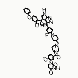 COc1ccc(C(=O)N2CCCN(CC3CCN(c4ccc(Nc5ncnc6[nH]cc(C(=O)c7ccc(Oc8ccccc8)cc7Cl)c56)cc4F)CC3)CC2)cc1N1CCC(=O)NC1=O